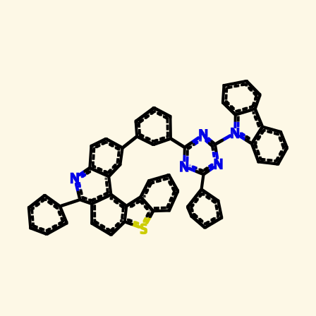 c1ccc(-c2nc(-c3cccc(-c4ccc5nc(-c6ccccc6)c6ccc7sc8ccccc8c7c6c5c4)c3)nc(-n3c4ccccc4c4ccccc43)n2)cc1